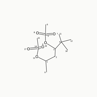 CC(CC(OS(C)(=O)=O)C(C)(C)C)OS(C)(=O)=O